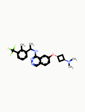 Cc1c(C(C)Nc2nncc3ccc(O[C@H]4C[C@H](N(C)C)C4)cc23)cccc1C(F)(F)F